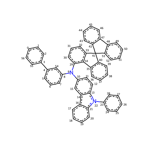 c1ccc(-c2cccc(N(c3ccc4c(c3)c3ccccc3n4-c3ccccc3)c3cccc4c3-c3ccccc3C43c4ccccc4-c4ccccc43)c2)cc1